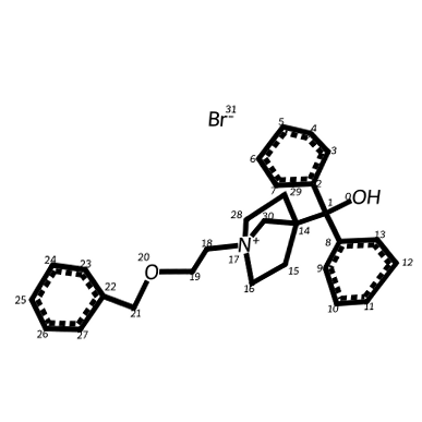 OC(c1ccccc1)(c1ccccc1)C12CC[N+](CCOCc3ccccc3)(CC1)C2.[Br-]